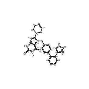 Cn1c(=S)[nH]c2nc(C3CC=CCC3)n(Cc3ccc(-c4ccccc4-c4nnn[nH]4)cc3)c2c1=O